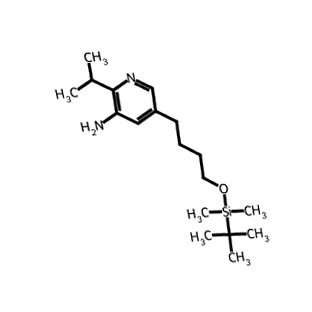 CC(C)c1ncc(CCCCO[Si](C)(C)C(C)(C)C)cc1N